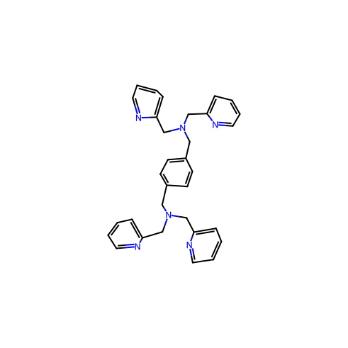 c1ccc(CN(Cc2ccc(CN(Cc3ccccn3)Cc3ccccn3)cc2)Cc2ccccn2)nc1